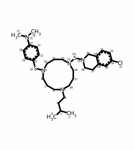 CC(C)CCN1CCCN(Sc2ccc(N(C)C)cc2)CCCN(SN2CCc3cc(Cl)ccc3C2)CCC1